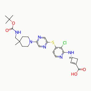 CC1(CNC(=O)OC(C)(C)C)CCN(c2cnc(Sc3ccnc(N[C@H]4C=C(C(=O)O)C4)c3Cl)cn2)CC1